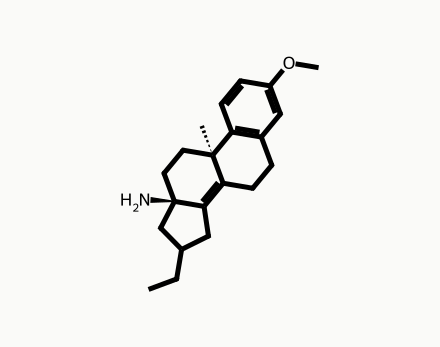 CCC1CC2=C3CCc4cc(OC)ccc4[C@]3(C)CC[C@@]2(N)C1